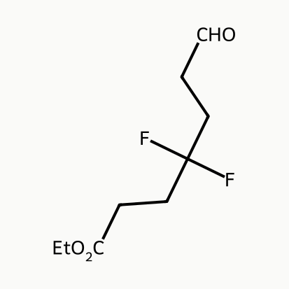 CCOC(=O)CCC(F)(F)CCC=O